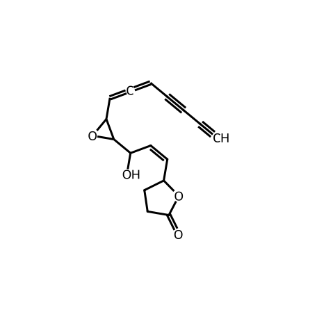 C#CC#CC=C=CC1OC1C(O)C=CC1CCC(=O)O1